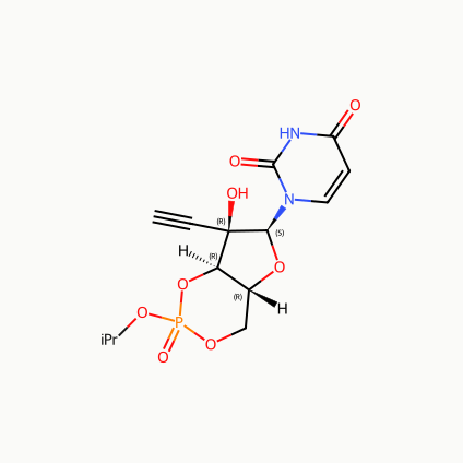 C#C[C@@]1(O)[C@@H]2OP(=O)(OC(C)C)OC[C@H]2O[C@@H]1n1ccc(=O)[nH]c1=O